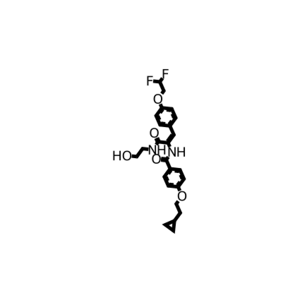 O=C(NCCO)/C(=C\c1ccc(OCC(F)F)cc1)NC(=O)c1ccc(OCCC2CC2)cc1